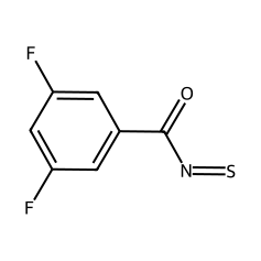 O=C(N=S)c1cc(F)cc(F)c1